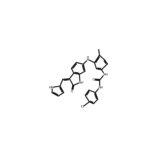 Cc1ccc(NC(=O)Nc2ccc(Cl)cc2)cc1Nc1ccc2c(c1)NC(=O)C2=Cc1ccc[nH]1